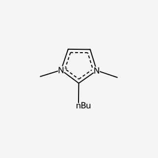 CCCCc1n(C)cc[n+]1C